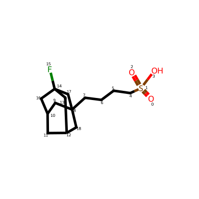 O=S(=O)(O)CCCCC12CC3CC(CC(F)(C3)C1)C2